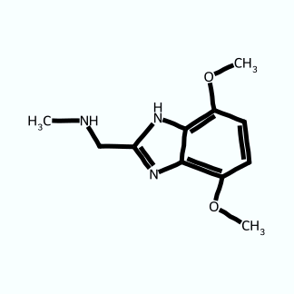 CNCc1nc2c(OC)ccc(OC)c2[nH]1